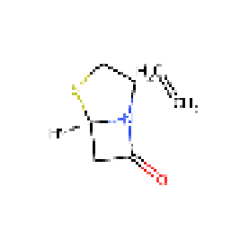 C=C.O=C1C[C@H]2SCCN12